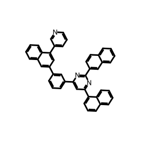 c1cc(-c2cc(-c3cccnc3)c3ccccc3c2)cc(-c2cc(-c3cccc4ccccc34)nc(-c3ccc4ccccc4c3)n2)c1